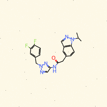 CC(C)n1ncc2cc(CC(=O)Nc3cnn(Cc4ccc(F)c(F)c4)n3)ccc21